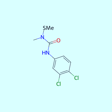 CSN(C)C(=O)Nc1ccc(Cl)c(Cl)c1